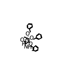 N[C@H]1[C@H]2OC[C@](COCc3ccccc3)(O2)[C@H](OCc2ccccc2)[C@@H]1OCc1ccccc1